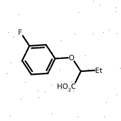 CCC(Oc1cccc(F)c1)C(=O)O